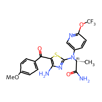 COc1ccc(C(=O)c2sc(N(c3ccc(OC(F)(F)F)nc3)[C@H](C)C(N)=O)nc2N)cc1